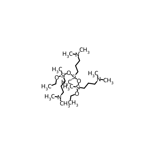 CCO[Si](C)(CCCN(C)C)O[Si](C)(CCCN(C)C)O[Si](C)(CCCN(C)C)OCC